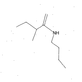 C=C(NCCCC)C(C)CC